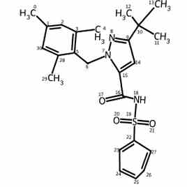 Cc1cc(C)c(Cn2nc(C(C)(C)C)cc2C(=O)NS(=O)(=O)c2ccccc2)c(C)c1